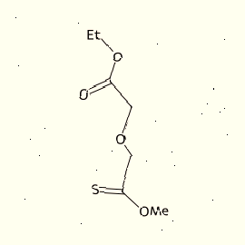 CCOC(=O)COCC(=S)OC